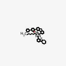 C=CCCCCC(C)c1nc(-c2cccc3c2-c2cc(-c4ccc(-c5ccccc5)cc4)ccc2C3)nc(-c2cccc3c4c(sc23)CC=CC=C4)n1